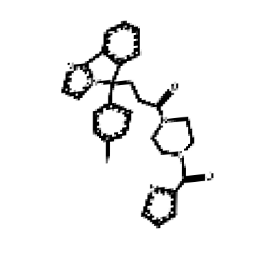 O=C(CCC1(c2ccc(F)cc2)c2ccccc2-c2nccn21)N1CCN(C(=O)c2cccs2)CC1